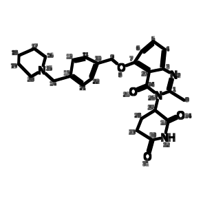 Cc1nc2cccc(OCc3ccc(CN4CCCCC4)cc3)c2c(=O)n1C1CCC(=O)NC1=O